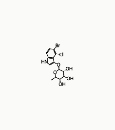 C[C@H]1O[C@@H](Oc2c[nH]c3ccc(Br)c(Cl)c23)[C@H](O)[C@@H](O)[C@H]1O